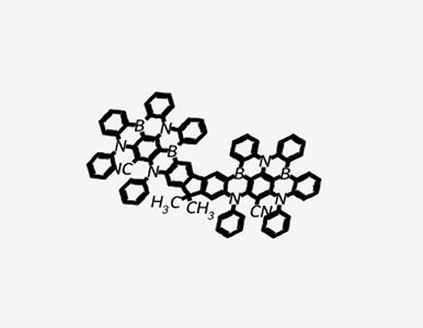 CC1(C)c2cc3c(cc2-c2cc4c(cc21)N(c1ccccc1)c1c(C#N)c2c5c6c1B4c1ccccc1N6c1ccccc1B5c1ccccc1N2c1ccccc1)B1c2ccccc2N2c4ccccc4B4c5ccccc5N(c5ccccc5)c5c(C#N)c(c1c2c54)N3c1ccccc1